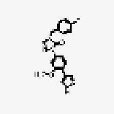 COc1cc(-n2ncn(Cc3ccc(F)cc3)c2=O)ccc1-c1cn[nH]c1